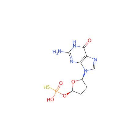 Nc1nc2c(ncn2[C@H]2CC[C@@H](OP(=O)(O)S)O2)c(=O)[nH]1